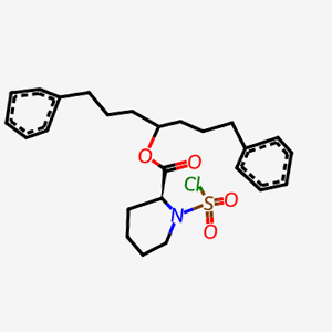 O=C(OC(CCCc1ccccc1)CCCc1ccccc1)[C@@H]1CCCCN1S(=O)(=O)Cl